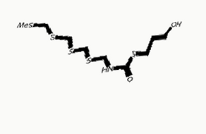 CSCSCSCSCNC(=O)SCCCO